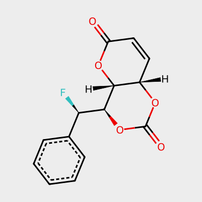 O=C1C=C[C@@H]2OC(=O)O[C@@H]([C@H](F)c3ccccc3)[C@@H]2O1